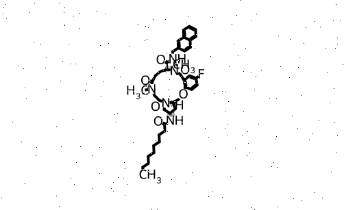 CCCCCCCCCC(=O)N[C@H]1C[C@H]2COc3ccc(F)cc3C(=O)N(C)[C@H](C(=O)NCc3ccc4ccccc4c3)CCC(=O)N(C)CC(=O)N2C1